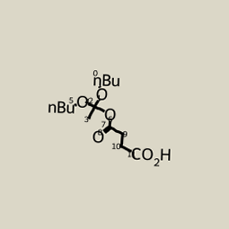 CCCCOC(C)(OCCCC)OC(=O)CCC(=O)O